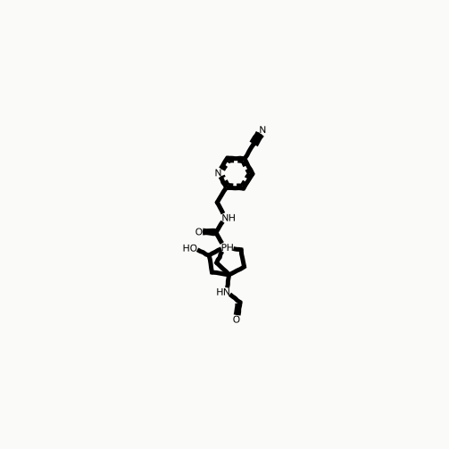 N#Cc1ccc(CNC(=O)[PH]23CCC(NC=O)(CC2O)C3)nc1